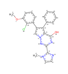 COc1cccc(-c2cn3nc(-c4nccn4C)nc(O)c3c2-c2ccccc2)c1Cl